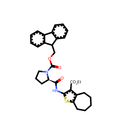 CCOC(=O)c1c(NC(=O)[C@H]2CCCN2C(=O)OCC2c3ccccc3-c3ccccc32)sc2c1CCCCC2